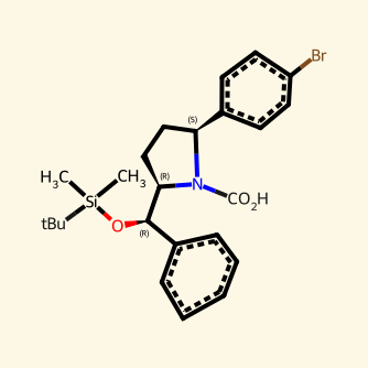 CC(C)(C)[Si](C)(C)O[C@H](c1ccccc1)[C@H]1CC[C@@H](c2ccc(Br)cc2)N1C(=O)O